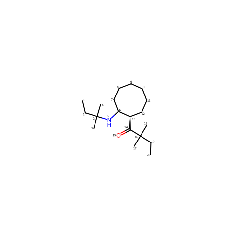 CCC(C)(C)NC1CCCCCC[C@H]1C(=O)C(C)(C)CC